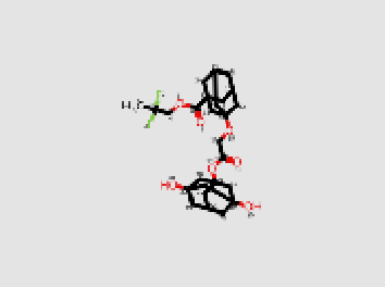 CC(F)(F)COC(=O)C12CC3CC(CC(OCC(=O)OC45CC6CC(O)(CC(O)(C6)C4)C5)(C3)C1)C2